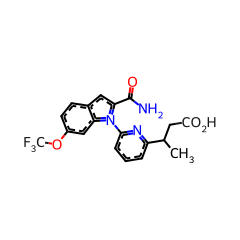 CC(CC(=O)O)c1cccc(-n2c(C(N)=O)cc3ccc(OC(F)(F)F)cc32)n1